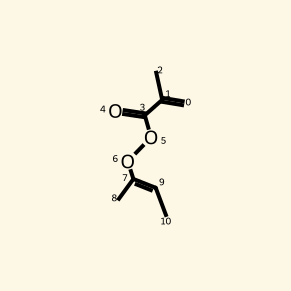 C=C(C)C(=O)OOC(C)=CC